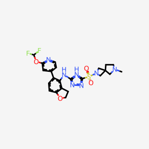 CN1CCC2(C1)CN(S(=O)(=O)c1nnc(Nc3c(-c4ccnc(OC(F)F)c4)ccc4c3CCO4)[nH]1)C2